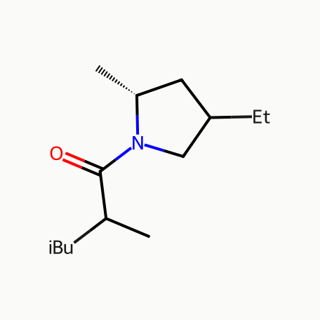 CCC1C[C@@H](C)N(C(=O)C(C)C(C)CC)C1